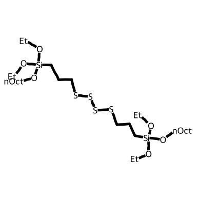 CCCCCCCCO[Si](CCCSSSSCCC[Si](OCC)(OCC)OCCCCCCCC)(OCC)OCC